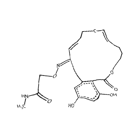 CNC(=O)CO/N=C1/C=C/CC/C=C/CCOC(=O)c2c(O)cc(O)cc2C1